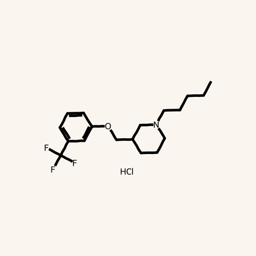 CCCCCN1CCCC(COc2cccc(C(F)(F)F)c2)C1.Cl